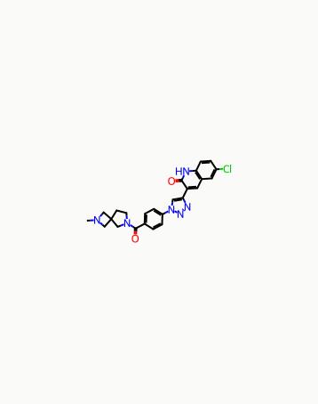 CN1CC2(CCN(C(=O)c3ccc(-n4cc(-c5cc6cc(Cl)ccc6[nH]c5=O)nn4)cc3)C2)C1